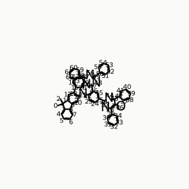 CC1(C)c2ccccc2-c2cc3c(cc21)c1ccccc1n3-c1ccc(-c2nc(-c3ccccc3)c3oc4ccccc4c3n2)cc1-c1nc(-c2ccccc2)nc(-c2ccccc2)n1